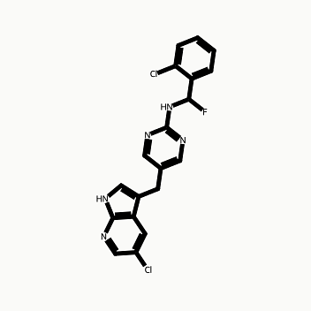 FC(Nc1ncc(Cc2c[nH]c3ncc(Cl)cc23)cn1)c1ccccc1Cl